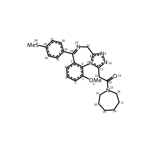 COc1cccc2c1-n1c(nnc1CC(=O)N1CCCCCC1)CN=C2c1ccc(SC)cc1